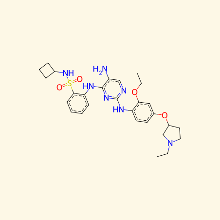 CCOc1cc(OC2CCN(CC)C2)ccc1Nc1ncc(N)c(Nc2ccccc2S(=O)(=O)NC2CCC2)n1